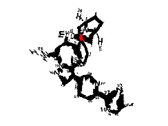 CCc1c([C@H]2C[C@H]3CC[C@@H](C2)N3C(=O)CO)nc2c(-c3ccc(-c4ncc[nH]4)nc3)cnn2c1N